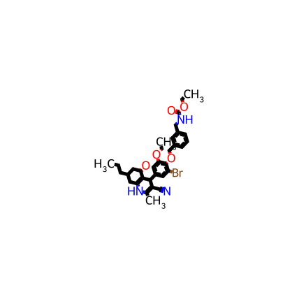 CCCC1CC(=O)C2=C(C1)NC(C)=C(C#N)C2c1cc(Br)c(OCc2cccc(CNC(=O)OCC)c2)c(OCC)c1